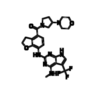 CNc1nc(Nc2ccc(C(=O)N3CCC(N4CCOCC4)C3)c3c2OCC3)nc2[nH]cc(C(F)(F)F)c12